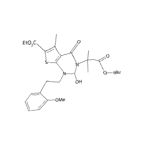 CCOC(=O)c1sc2c(c1C)C(=O)N(C(C)(C)C(=O)OC(C)(C)C)C(O)N2CCc1ccccc1OC